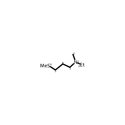 CCN(C)CCCSC